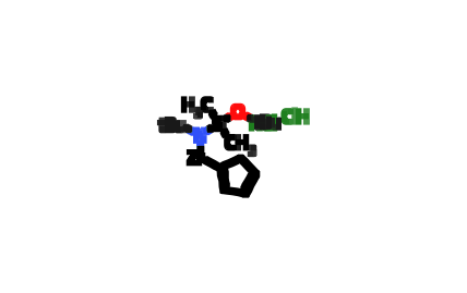 CC(C)(C)O[Si](C)(C)[N]([Zr][C]1=CC=CC1)C(C)(C)C.Cl.Cl